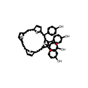 Oc1ccc(-c2c(-c3ccc(O)cc3)c3c(-c4ccc(O)cc4)c4nc(cc5ccc(cc6nc(cc2n3-c2ccc(O)cc2)C=C6)[nH]5)C=C4)cc1